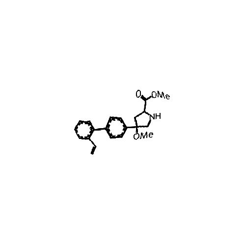 C=Cc1ccccc1-c1ccc(C2(OC)CNC(C(=O)OC)C2)cc1